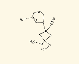 COC1(OC)CC(C#N)(c2cccc(Br)c2)C1